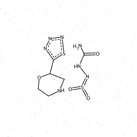 C1COC(c2nnns2)CN1.NC(=O)NN=S(=O)=O